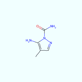 Cc1cnn(C(N)=O)c1N